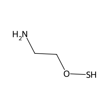 NCCOS